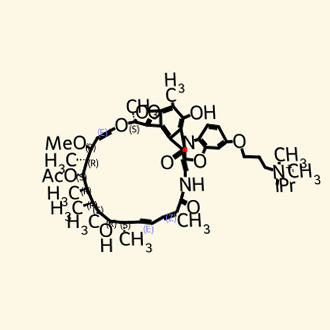 CO[C@H]1/C=C/O[C@@]2(C)Oc3c(C)c(O)c4c(=O)c(c5oc6cc(OCCC[N+](C)(C)C(C)C)ccc6nc-5c4c3C2=O)NC(=O)/C(C)=C\C=C\[C@H](C)[C@H](O)[C@@H](C)[C@@H](C)[C@@H](C)[C@H](OC(C)=O)[C@@H]1C